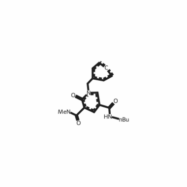 CCCCNC(=O)c1cc(C(=O)NC)c(=O)n(Cc2ccccc2)c1